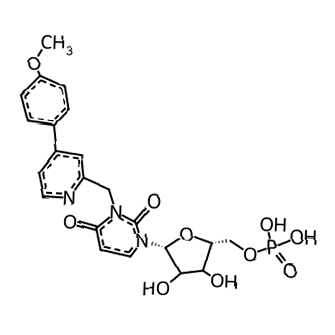 COc1ccc(-c2ccnc(Cn3c(=O)ccn([C@@H]4O[C@H](COP(=O)(O)O)C(O)C4O)c3=O)c2)cc1